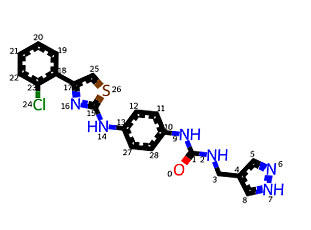 O=C(NCc1cn[nH]c1)Nc1ccc(Nc2nc(-c3ccccc3Cl)cs2)cc1